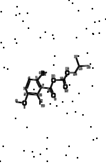 COc1ccc(Br)c(C(=O)OC(=O)OCC(C)C)c1F